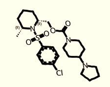 C[C@@H]1CCC[C@H](COC(=O)N2CCC(N3CCCC3)CC2)N1S(=O)(=O)c1ccc(Cl)cc1